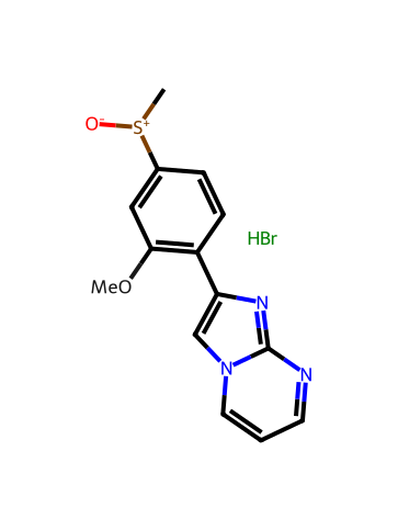 Br.COc1cc([S+](C)[O-])ccc1-c1cn2cccnc2n1